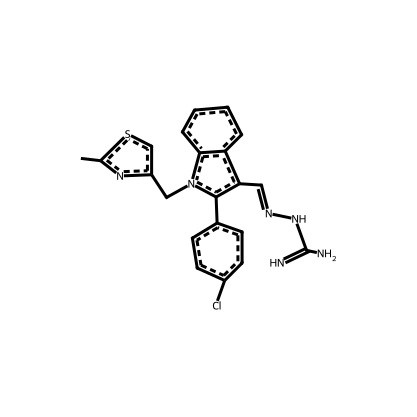 Cc1nc(Cn2c(-c3ccc(Cl)cc3)c(/C=N/NC(=N)N)c3ccccc32)cs1